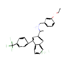 CCOc1cccc([C@@H](C)NC(C)c2cc(-c3ccc(C(F)(F)F)cc3)c3ccccc3c2)c1.Cl